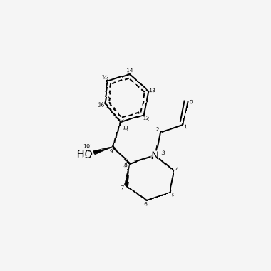 C=CCN1CCCC[C@H]1[C@@H](O)c1ccccc1